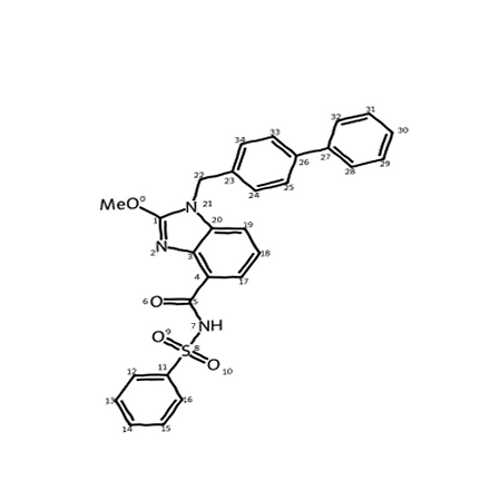 COc1nc2c(C(=O)NS(=O)(=O)c3ccccc3)cccc2n1Cc1ccc(-c2ccccc2)cc1